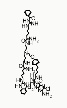 N=C(NCCCC[C@H](N)C(=O)NCCCN(CCCNC(=O)[C@@H](N)CCCCNC(=N)NC(=O)c1ccccc1)CCOc1ccc(CCCCNC(=N)NC(=O)c2nc(Cl)c(N)nc2N)cc1)NC(=O)c1ccccc1